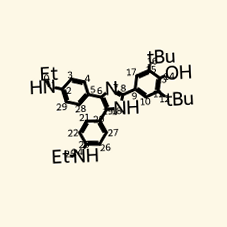 CCNc1ccc(-c2nc(-c3cc(C(C)(C)C)c(O)c(C(C)(C)C)c3)[nH]c2-c2ccc(NCC)cc2)cc1